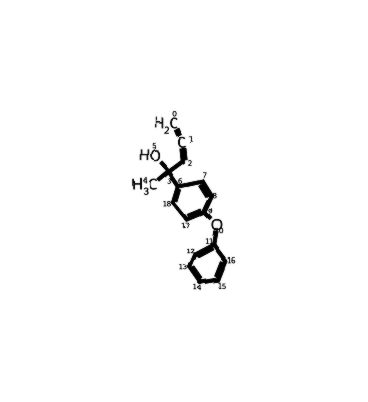 C=C=CC(C)(O)c1ccc(Oc2ccccc2)cc1